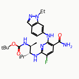 CCn1ncc2ccc(Nc3nc(N[C@H](C(C)C)[C@H](C)NC(=O)OC(C)(C)C)c(F)cc3C(N)=O)cc21